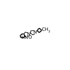 Cc1ccc(N2CCC(N3CCc4ccccc4NC3=O)CC2)cc1